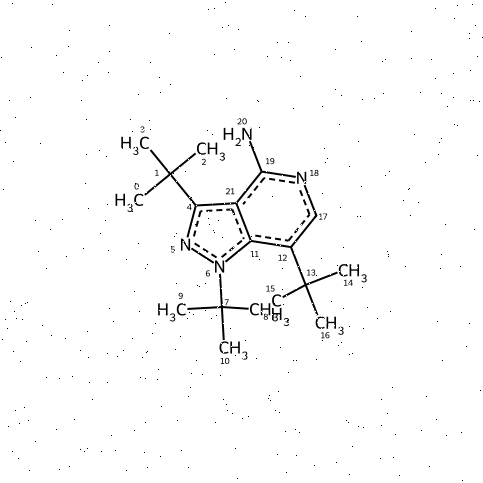 CC(C)(C)c1nn(C(C)(C)C)c2c(C(C)(C)C)cnc(N)c12